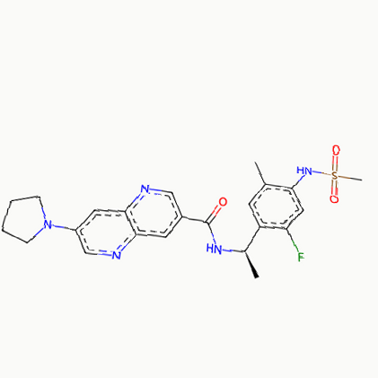 Cc1cc([C@@H](C)NC(=O)c2cnc3cc(N4CCCC4)cnc3c2)c(F)cc1NS(C)(=O)=O